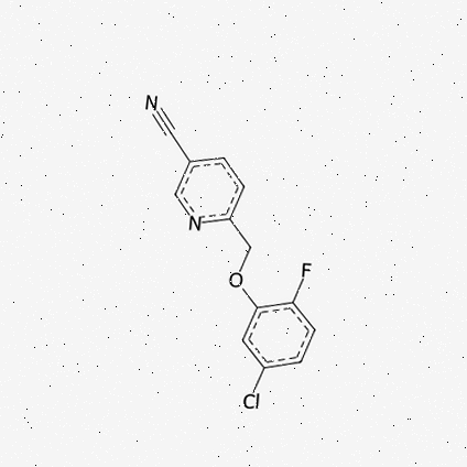 N#Cc1ccc(COc2cc(Cl)ccc2F)nc1